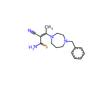 C/C(=C(\C#N)C(N)=S)N1CCCN(Cc2ccccc2)CC1